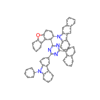 c1ccc(-n2c3ccccc3c3cc(-c4nc(-c5cccc6ccccc56)nc(-c5c(-n6c7ccccc7c7cc8ccccc8cc76)ccc6oc7ccccc7c56)n4)ccc32)cc1